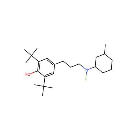 CC1CCCC(N(F)CCCc2cc(C(C)(C)C)c(O)c(C(C)(C)C)c2)C1